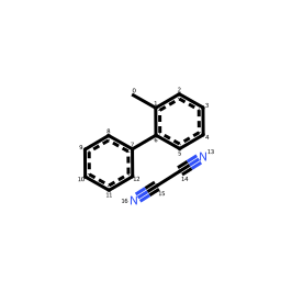 Cc1ccccc1-c1ccccc1.N#CC#N